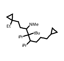 CCC1(CCC(NC)C(C(C)C)(C(CCCC2CC2)C(C)C)C(C)(C)C)CC1